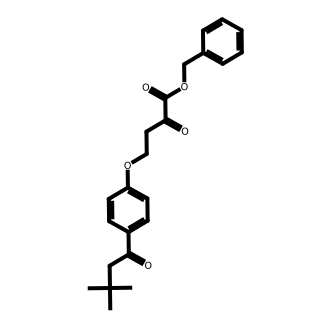 CC(C)(C)CC(=O)c1ccc(OCCC(=O)C(=O)OCc2ccccc2)cc1